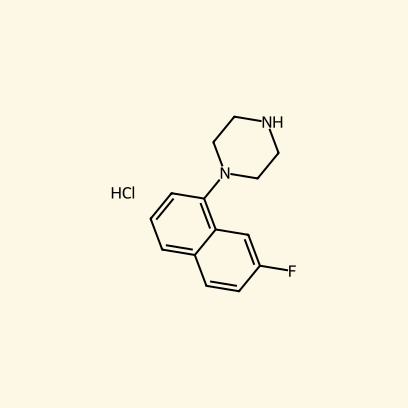 Cl.Fc1ccc2cccc(N3CCNCC3)c2c1